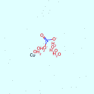 O.O.O.O.O.O=[N+]([O-])[O-].[Cu]